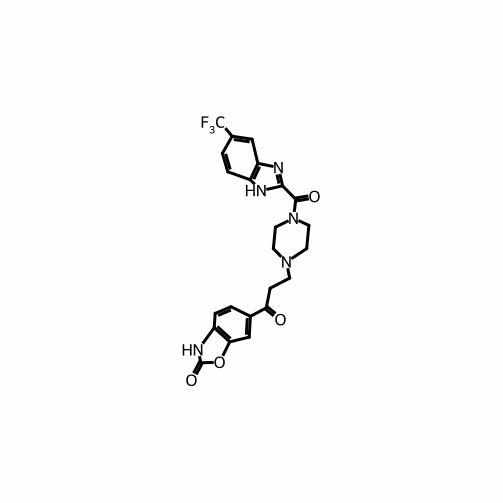 O=C(CCN1CCN(C(=O)c2nc3cc(C(F)(F)F)ccc3[nH]2)CC1)c1ccc2[nH]c(=O)oc2c1